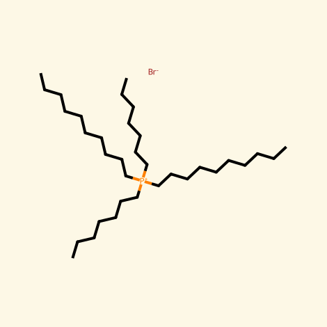 CCCCCCCCCC[P+](CCCCCCC)(CCCCCCC)CCCCCCCCCC.[Br-]